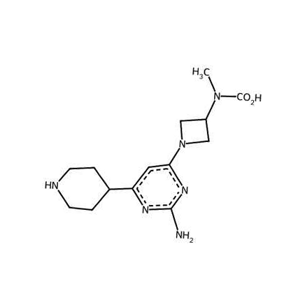 CN(C(=O)O)C1CN(c2cc(C3CCNCC3)nc(N)n2)C1